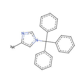 [2H]c1cn(C(c2ccccc2)(c2ccccc2)c2ccccc2)cn1